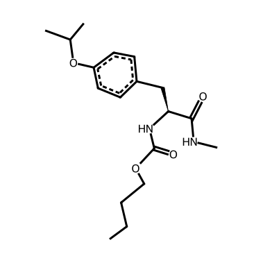 CCCCOC(=O)N[C@@H](Cc1ccc(OC(C)C)cc1)C(=O)NC